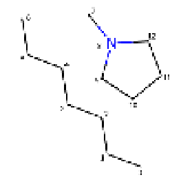 CCCCCCC.CN1CCCC1